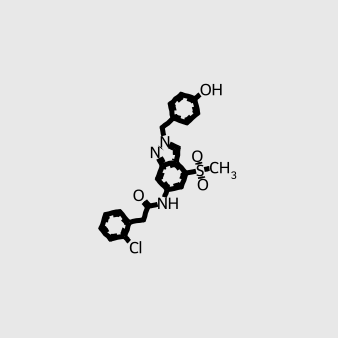 CS(=O)(=O)c1cc(NC(=O)Cc2ccccc2Cl)cc2nn(Cc3ccc(O)cc3)cc12